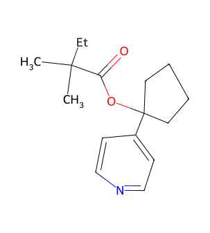 CCC(C)(C)C(=O)OC1(c2ccncc2)CCCC1